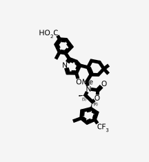 COc1cnc(-c2ccc(C(=O)O)cc2C)cc1C1=C(CN2C(=O)O[C@H](c3cc(C)cc(C(F)(F)F)c3)[C@@H]2C)CC(C)(C)CC1